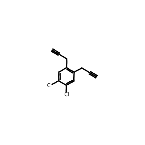 C#CCc1cc(Cl)c(Cl)cc1CC#C